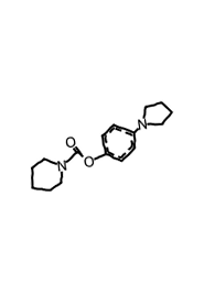 O=C(Oc1ccc(N2CCCC2)cc1)N1CCCCC1